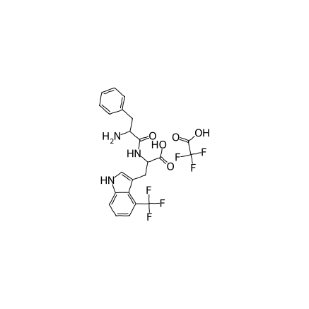 NC(Cc1ccccc1)C(=O)NC(Cc1c[nH]c2cccc(C(F)(F)F)c12)C(=O)O.O=C(O)C(F)(F)F